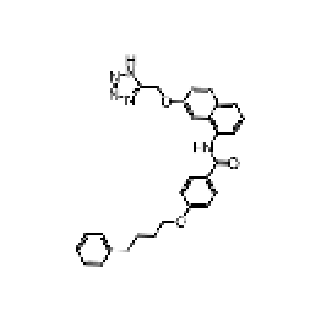 O=C(Nc1cccc2ccc(OCc3nnn[nH]3)cc12)c1ccc(OCCCCc2ccccc2)cc1